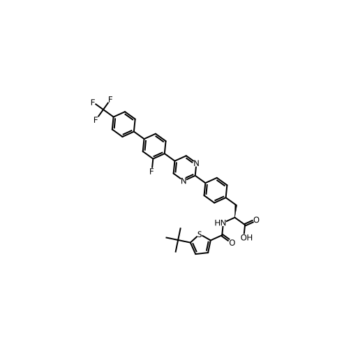 CC(C)(C)c1ccc(C(=O)N[C@@H](Cc2ccc(-c3ncc(-c4ccc(-c5ccc(C(F)(F)F)cc5)cc4F)cn3)cc2)C(=O)O)s1